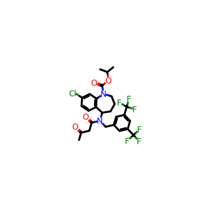 CC(=O)CC(=O)N(Cc1cc(C(F)(F)F)cc(C(F)(F)F)c1)C1CCCN(C(=O)OC(C)C)c2cc(Cl)ccc21